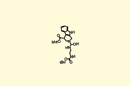 COC(=O)C1CN(C(O)NCCNC(=O)OC(C)(C)C)Cc2[nH]c3ccccc3c21